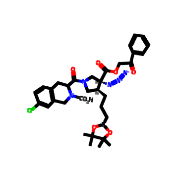 CC1(C)OB(CCC[C@H]2CN(C(=O)C3Cc4ccc(Cl)cc4CN3C(=O)O)C[C@@]2(N=[N+]=[N-])C(=O)OCC(=O)c2ccccc2)OC1(C)C